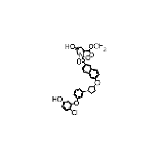 COC(=O)[C@@H]1C[C@@H](O)CN1S(=O)(=O)c1ccc2cc(OC3CCC(c4cccc(Oc5cc(O)ccc5Cl)c4)C3)ccc2c1